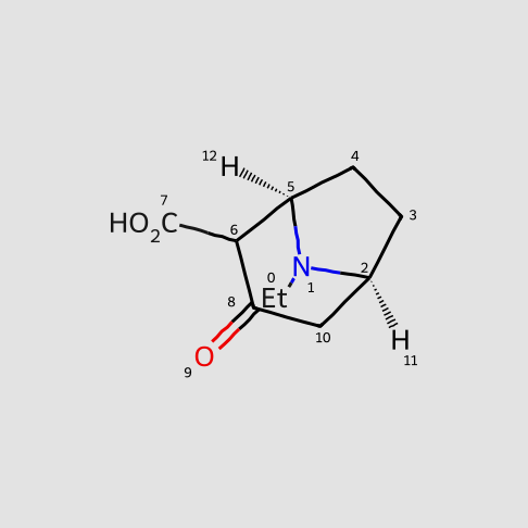 CCN1[C@H]2CC[C@@H]1C(C(=O)O)C(=O)C2